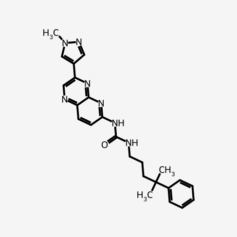 Cn1cc(-c2cnc3ccc(NC(=O)NCCCC(C)(C)c4ccccc4)nc3n2)cn1